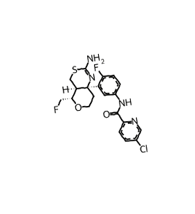 NC1=N[C@@]2(c3cc(NC(=O)c4ccc(Cl)cn4)ccc3F)CCO[C@H](CF)[C@H]2CS1